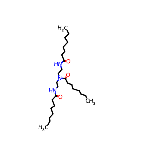 CCCCCCCC(=O)NCCN(CCNC(=O)CCCCCCC)C(=O)CCCCCCC